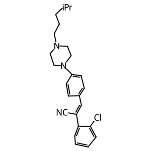 CC(C)CCCN1CCN(c2ccc(/C=C(\C#N)c3ccccc3Cl)cc2)CC1